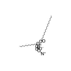 CCCCCCCCCCCCCCCCCC(=O)OC[C@H](COP(=O)([O-])OCC[N+](C)(C)C)OC(=O)CCCCCCCCCCC